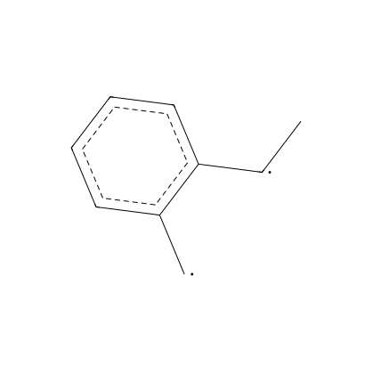 [CH2]c1ccccc1[CH]C